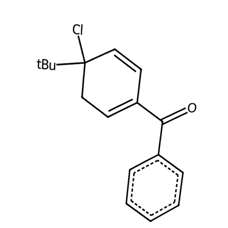 CC(C)(C)C1(Cl)C=CC(C(=O)c2ccccc2)=CC1